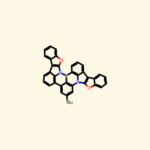 CC(C)(C)c1cc2c3c(c1)-n1c4oc5ccccc5c4c4cccc(c41)B3n1c3oc4ccccc4c3c3cccc-2c31